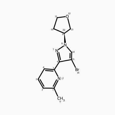 Cc1cccc(-c2nn([C@H]3CCOC3)cc2Br)n1